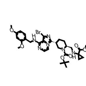 COC(=O)C1(NC[C@@H]2CC[C@@H](c3nc(Br)c4c(NCc5ccc(OC)cc5OC)nccn34)CN2C(=O)OC(C)(C)C)CC1